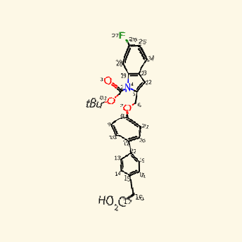 CC(C)(C)OC(=O)n1c(COc2ccc(-c3ccc(CC(=O)O)cc3)cc2)cc2ccc(F)cc21